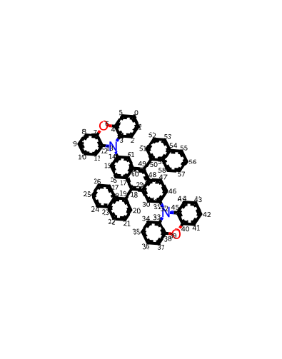 c1ccc2c(c1)Oc1ccccc1N2c1ccc2c(-c3cccc4ccccc34)c3cc(N4c5ccccc5Oc5ccccc54)ccc3c(-c3cccc4ccccc34)c2c1